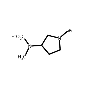 CCOC(=O)N(C)C1CCN(C(C)C)C1